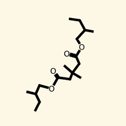 CCC(C)COC(=O)CC(C)(C)CC(=O)OCC(C)CC